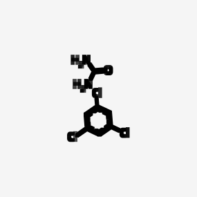 Clc1cc(Cl)cc(Cl)c1.NC(N)=O